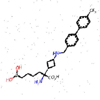 NC(CCCCB(O)O)(C(=O)O)[C@H]1C[C@@H](NCc2ccc(-c3ccc(C(F)(F)F)cc3)cc2)C1